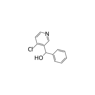 OC(c1ccccc1)c1cnccc1Cl